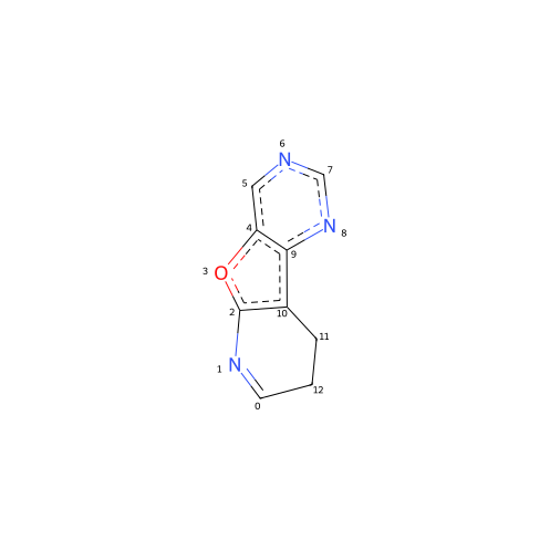 C1=Nc2oc3cncnc3c2CC1